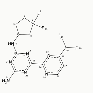 Nc1nc(NC2CCC(F)(F)C2)nc(-c2nccc(C(F)F)n2)n1